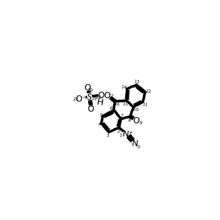 N#[N+]c1cccc2c1C(=O)c1ccccc1C2=O.O=S(=O)([O-])O